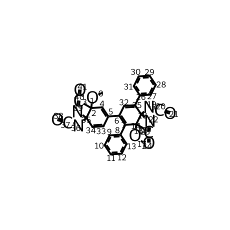 COC1(C)C=C(C2=C(c3ccccc3)C(C)(OC)C(N=C=O)(N=C=O)C(c3ccccc3)=C2)C=CC1(N=C=O)N=C=O